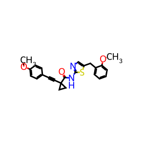 COc1ccc(C#CC2(C(=O)Nc3ncc(Cc4ccccc4OC)s3)CC2)cc1